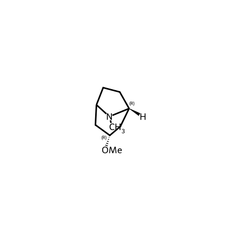 CO[C@@H]1CC2CC[C@H](C1)N2C